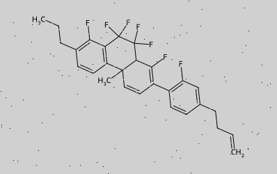 C=CCCc1ccc(C2=C(F)C3C(C)(C=C2)c2ccc(CCC)c(F)c2C(F)(F)C3(F)F)c(F)c1